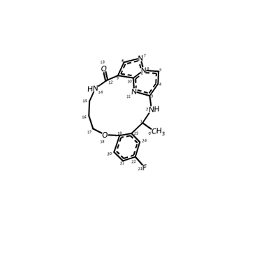 CC1Nc2ccn3ncc(c3n2)C(=O)NCCCOc2ccc(F)cc21